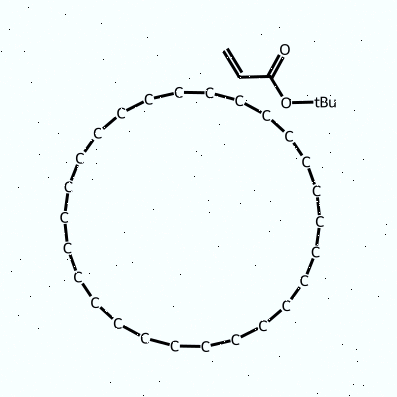 C1CCCCCCCCCCCCCCCCCCCCCCCCC1.C=CC(=O)OC(C)(C)C